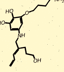 C=C/C=C(\CCCO)CNc1cc(O)c(O)c(OCCCCN)c1